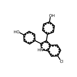 Oc1ccc(-c2[nH]c3cc(Cl)ccc3c2-c2ccc(O)cc2)cc1